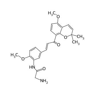 COc1ccc(/C=C/C(=O)c2ccc(OC)c3c2OC(C)(C)C=C3)cc1NC(=O)CN